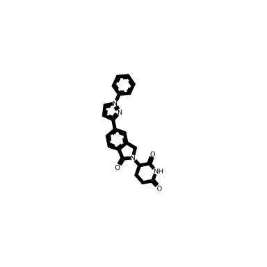 O=C1CCC(N2Cc3cc(-c4ccn(-c5ccccc5)n4)ccc3C2=O)C(=O)N1